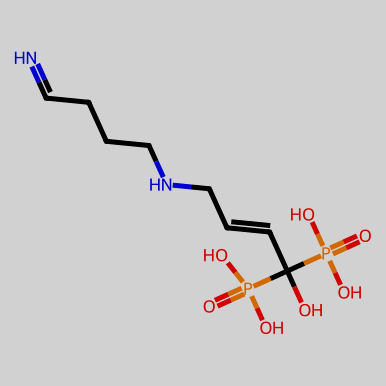 N=CCCCNCC=CC(O)(P(=O)(O)O)P(=O)(O)O